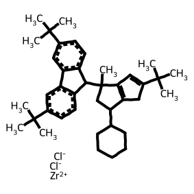 CC(C)(C)C1=CC2=C(C1)C(C1CCCCC1)CC2(C)C1c2ccc(C(C)(C)C)cc2-c2cc(C(C)(C)C)ccc21.[Cl-].[Cl-].[Zr+2]